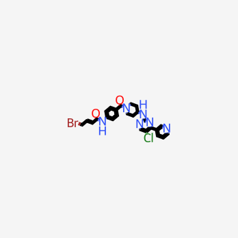 O=C(/C=C/CBr)Nc1ccc(C(=O)N2CCC(Nc3ncc(Cl)c(-c4cccnc4)n3)CC2)cc1